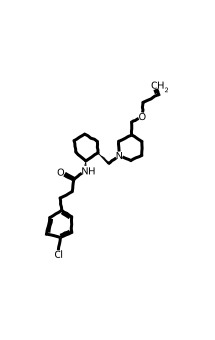 C=CCOCC1CCCN(C[C@@H]2CCCC[C@H]2NC(=O)CCc2ccc(Cl)cc2)C1